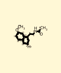 [2H]c1cc(CCNC(C)=O)c2cc(OC)ccc2c1